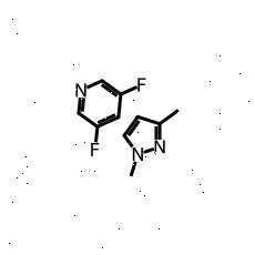 Cc1ccn(C)n1.Fc1cncc(F)c1